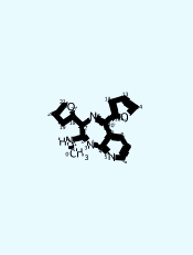 CNC1=Nc2ncccc2C(c2ccco2)=NC1c1ccco1